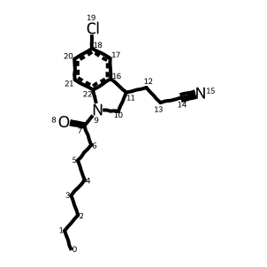 CCCCCCCC(=O)N1CC(CCC#N)c2cc(Cl)ccc21